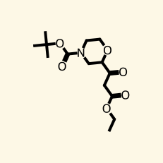 CCOC(=O)CC(=O)C1CN(C(=O)OC(C)(C)C)CCO1